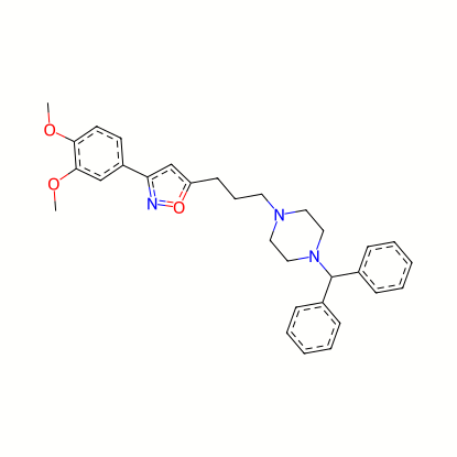 COc1ccc(-c2cc(CCCN3CCN(C(c4ccccc4)c4ccccc4)CC3)on2)cc1OC